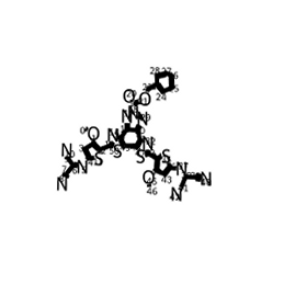 COc1cc(N=C(C#N)C#N)sc1-c1nc2c3nn(C(=O)OCc4ccccc4)nc3c3nc(-c4sc(N=C(C#N)C#N)cc4OC)sc3c2s1